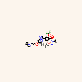 COc1cc(-c2cnc3cc(OCCCN4CCC45CCC5)ccn23)cc(OC(F)F)c1C(=O)NC1CC1